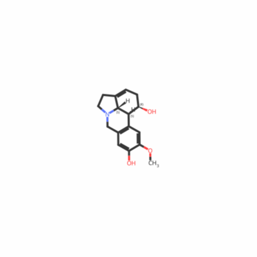 COc1cc2c(cc1O)CN1CCC3=CC[C@@H](O)[C@@H]2[C@@H]31